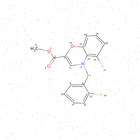 COC(=O)C1=CN(Cc2ccccc2F)c2c(F)cccc2O1